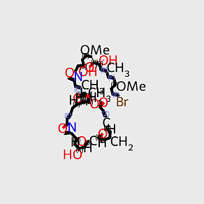 C=C1C[C@@H]2C[C@@H]3C[C@@H](O)C[C@@H](O3)c3coc(n3)/C=C/C[C@H]3O[C@@H](/C(C)=C/c4coc(C[C@]5(O)C[C@H](OC)C[C@H]([C@H](O)/C=C(C)/C=C/[C@@H](C/C=C/Br)OC)O5)n4)[C@H](C)[C@@H](OC(=O)/C=C\C[C@@H](C1)O2)[C@H]3C